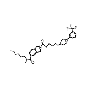 CCCCCCC(C)C(=O)c1ccc2c(c1)CN(C(=O)CCCCCN1CCN(c3cccc(C(F)(F)F)c3)CC1)C2